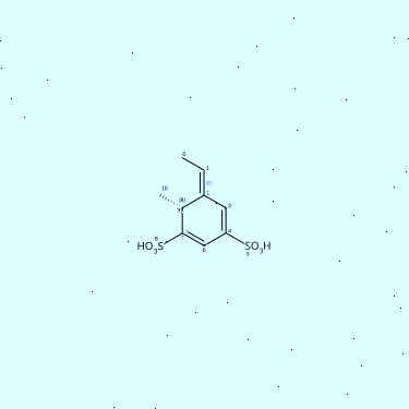 C/C=C1/C=C(S(=O)(=O)O)C=C(S(=O)(=O)O)[C@@H]1C